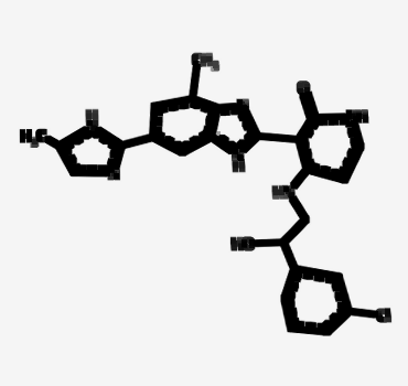 Cc1cnc(-c2cc(C)c3nc(-c4c(NCC(O)c5cccc(Cl)c5)cc[nH]c4=O)[nH]c3c2)[nH]1